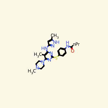 CCCC(=O)Nc1ccc(Sc2nc(Nc3cc(C)[nH]n3)c(C)c(N3CCN(C)CC3)n2)cc1